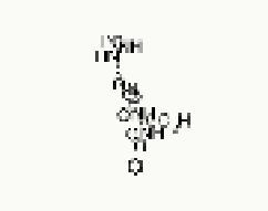 O=C(NC(CNC(=O)c1cc(OCCCNC2NCCN2)no1)C(=O)O)OCc1ccccc1